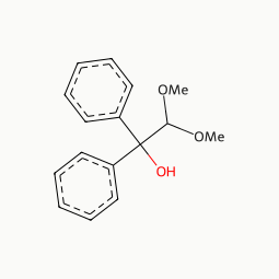 COC(OC)C(O)(c1ccccc1)c1ccccc1